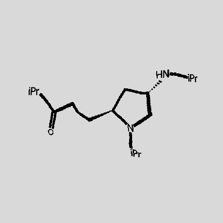 CC(C)N[C@H]1C[C@H](CCC(=O)C(C)C)N(C(C)C)C1